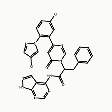 O=C(Nc1ncnc2[nH]ncc12)C(Cc1ccccc1)n1cnc(-c2cc(Cl)ccc2-n2cc(Cl)nn2)cc1=O